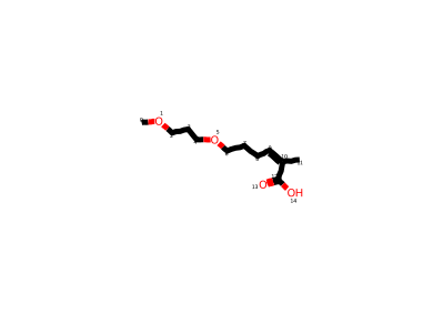 COCCCOCCCC=C(C)C(=O)O